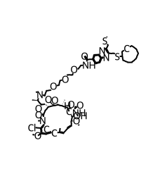 COc1cc2cc(c1Cl)N(C)C(=O)C[C@H](CC(=O)[C@@H](C)N(C)C(=O)CCOCCOCCOCCNC(=O)c1ccc3nc(CSC4CCCCCCCCC4)c(CSC)nc3c1)[C@]1(C)OC1[C@H](C)[C@@H]1C[C@@](O)(NC(=O)O1)[C@H](OC)/C=C/C=C(\C)C2